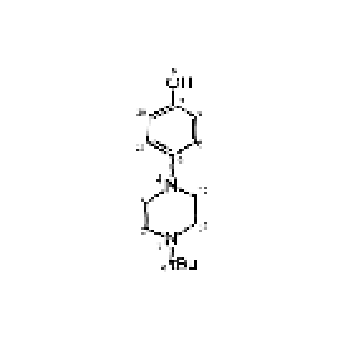 CC(C)(C)N1CCN(c2ccc(O)cc2)CC1